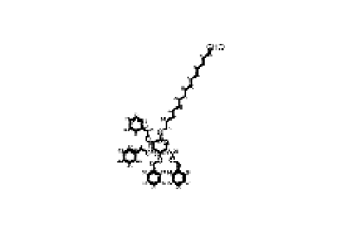 O=CCCCCCCCCCCCCCCCO[C@@H]1O[C@H](COCc2ccccc2)[C@H](OCc2ccccc2)[C@H](OCc2ccccc2)[C@H]1OCc1ccccc1